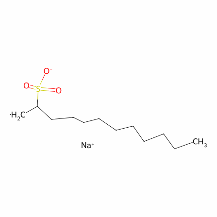 [CH2]C(CCCCCCCCCC)S(=O)(=O)[O-].[Na+]